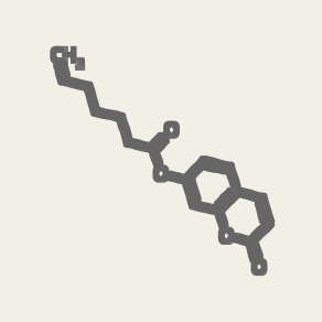 C=CCCCCC(=O)Oc1ccc2ccc(=O)oc2c1